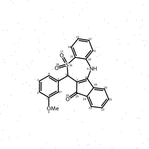 COc1cccc(C2C3=C(Nc4ccccc4S2(=O)=O)c2ccccc2C3=O)c1